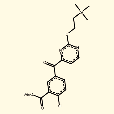 COC(=O)c1cc(C(=O)c2ccnc(OCC[Si](C)(C)C)n2)ccc1Cl